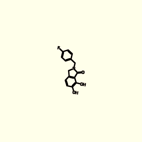 O=C1c2c(ccc(O)c2O)CN1Cc1ccc(F)cc1